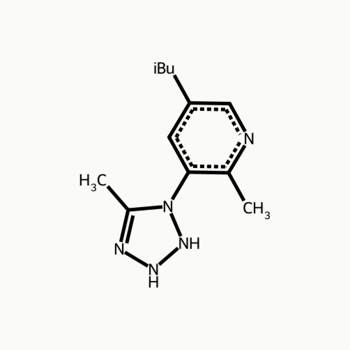 CCC(C)c1cnc(C)c(N2NNN=C2C)c1